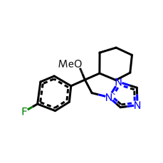 COC(Cn1cncn1)(c1ccc(F)cc1)C1CCCCC1